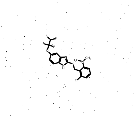 CN(C)c1cccc(Cl)c1CSc1nc2cc(OC(F)(F)C(F)F)ccc2[nH]1